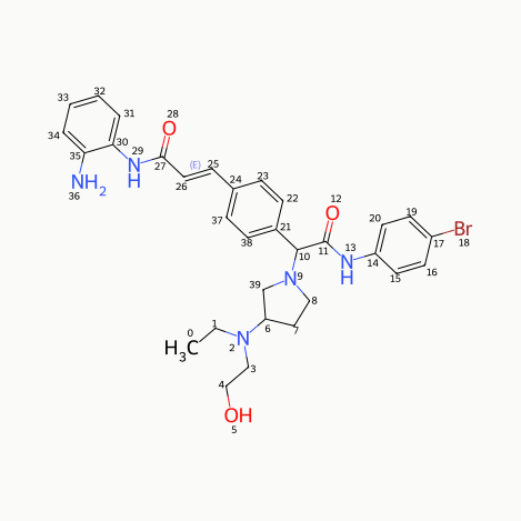 CCN(CCO)C1CCN(C(C(=O)Nc2ccc(Br)cc2)c2ccc(/C=C/C(=O)Nc3ccccc3N)cc2)C1